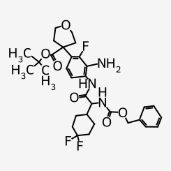 CC(C)(C)OC(=O)C1(c2ccc(NC(=O)C(NC(=O)OCc3ccccc3)C3CCC(F)(F)CC3)c(N)c2F)CCOCC1